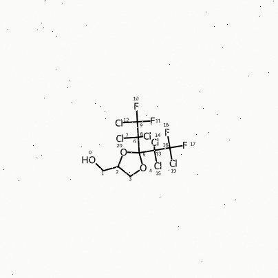 OCC1COC(C(Cl)(Cl)C(F)(F)Cl)(C(Cl)(Cl)C(F)(F)Cl)O1